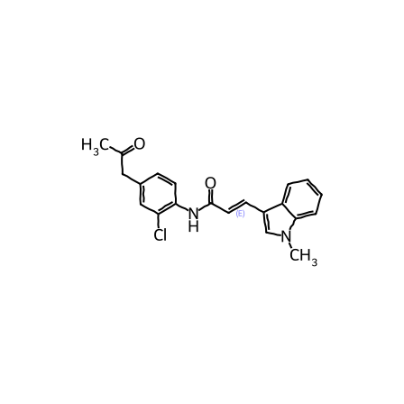 CC(=O)Cc1ccc(NC(=O)/C=C/c2cn(C)c3ccccc23)c(Cl)c1